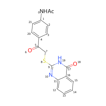 CC(=O)Nc1ccc(C(=O)CSc2nc3ccccc3c(=O)[nH]2)cc1